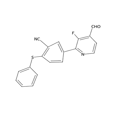 N#Cc1cc(-c2nccc(C=O)c2F)ccc1Sc1ccccc1